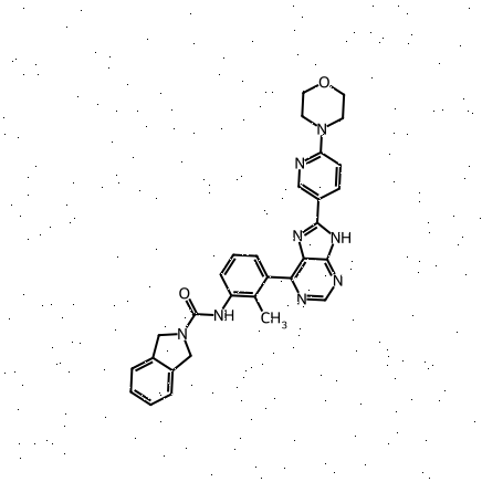 Cc1c(NC(=O)N2Cc3ccccc3C2)cccc1-c1ncnc2[nH]c(-c3ccc(N4CCOCC4)nc3)nc12